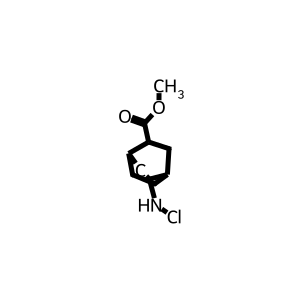 COC(=O)C1CC2CCC1CC2NCl